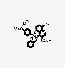 COc1ccc(S(=O)(=O)N(Cc2ccccc2)c2c(C(=O)O)cnc3c(C(C)C)cccc23)cc1.NO